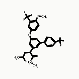 COC(=O)C(CC(C)C)c1cc(Oc2ccc(OC)c(C(F)(F)F)c2)cc(-c2ccc(C(F)(F)F)cc2)c1